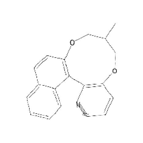 CC1COc2ccc3ccccc3c2-c2c(ccc3ccccc23)OC1